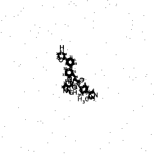 Cn1cncc1-c1ccc(NC(=O)[C@H](Cc2cc(-c3cccc([C@H]4CNCCO4)c3)ccc2Cl)NC(=O)c2ccnn2C)cc1